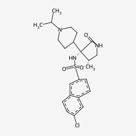 CC(C)N1CCC([C@@]2(NS(=O)(=O)c3ccc4cc(Cl)ccc4c3)C(=O)NC[C@@H]2C)CC1